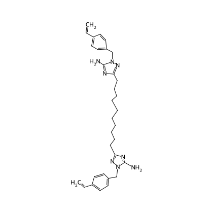 C=Cc1ccc(Cn2nc(CCCCCCCCCCc3nc(N)n(Cc4ccc(C=C)cc4)n3)nc2N)cc1